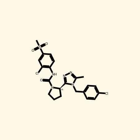 Cc1nnc([C@H]2CCCN2C(=O)Nc2ccc(S(C)(=O)=O)cc2Cl)n1Cc1ccc(Cl)cc1